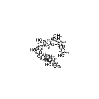 C[C@H]1O[C@@H](O[C@H]2[C@@H](O)C[C@H](O[C@H]3[C@@H](O)C[C@H](O[C@H]4CC[C@@]5(C)[C@H](CC[C@@H]6[C@@H]5C[C@@H](O)[C@]5(C)[C@@H](C7=CC(=O)OC7)CC[C@]65O)C4)O[C@@H]3C)O[C@@H]2C)C[C@H](O)[C@@H]1O.N[C@@H](Cc1cc(I)c(Oc2ccc(O)c(I)c2)c(I)c1)C(=O)O